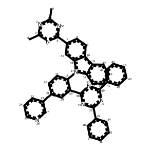 Cc1nc(C)nc(-c2ccc3c4ccccc4n(-c4ccc(-c5cccnc5)cc4-c4nc(-c5ccccc5)nc(-c5ccccc5)n4)c3c2)n1